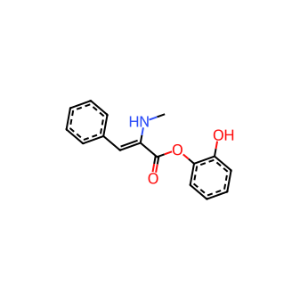 CN/C(=C\c1ccccc1)C(=O)Oc1ccccc1O